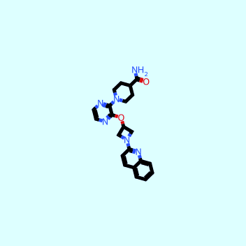 NC(=O)C1CCN(c2nccnc2OC2CN(c3ccc4ccccc4n3)C2)CC1